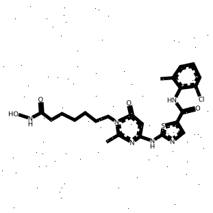 Cc1cccc(Cl)c1NC(=O)c1cnc(Nc2cc(=O)n(CCCCCCC(=O)NO)c(C)n2)s1